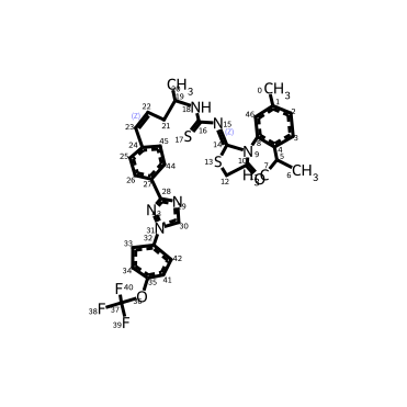 Cc1ccc(C(C)C)c(N2C(=O)CS/C2=N\C(=S)NC(C)C/C=C\c2ccc(-c3ncn(-c4ccc(OC(F)(F)F)cc4)n3)cc2)c1